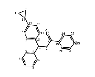 O=C(CC(c1ccccc1)c1ccc(C2CC2)cc1)c1ccncc1